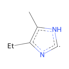 CCc1n[c][nH]c1C